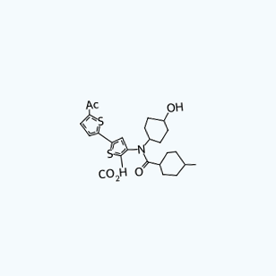 CC(=O)c1ccc(-c2cc(N(C(=O)C3CCC(C)CC3)C3CCC(O)CC3)c(C(=O)O)s2)s1